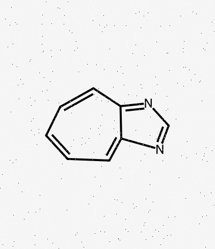 c1ccc2ncnc-2cc1